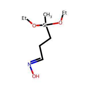 CCO[Si](C)(CCC=NO)OCC